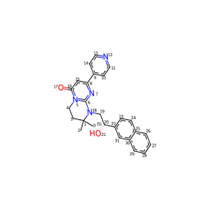 CC1(C)CCn2c(nc(-c3ccncc3)cc2=O)N1C[C@@H](O)c1ccc2ccccc2c1